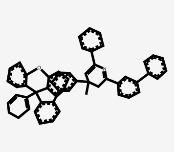 CC1(c2cccc(-c3ccccc3C3(C4=CCCC=C4)c4ccccc4Oc4ccccc43)c2)C=C(c2ccccc2)N=C(c2cccc(-c3ccccc3)c2)C1